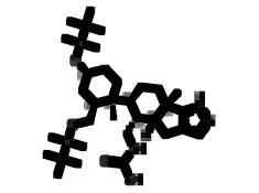 CC(C)(C)[Si](C)(C)OC[C@H]1C[C@@H](O[Si](C)(C)C(C)(C)C)CC[C@@]1(C)[C@H]1CC[C@]2(C)c3[nH]ncc3C[C@@H]2[C@@H]1CNC(=O)O